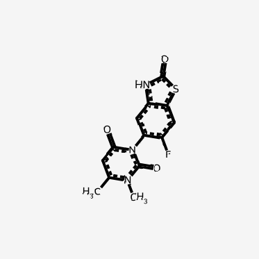 Cc1cc(=O)n(-c2cc3[nH]c(=O)sc3cc2F)c(=O)n1C